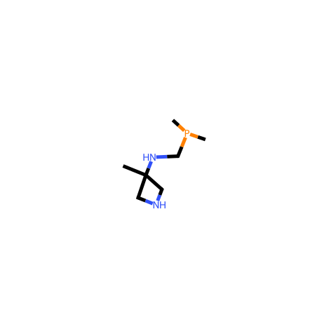 CP(C)CNC1(C)CNC1